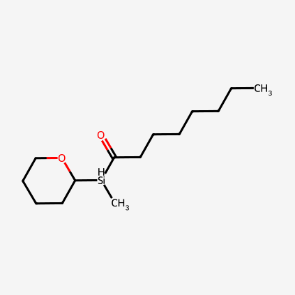 CCCCCCCC(=O)[SiH](C)C1CCCCO1